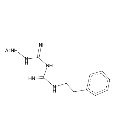 CC(=O)NNC(=N)NC(=N)NCCc1ccccc1